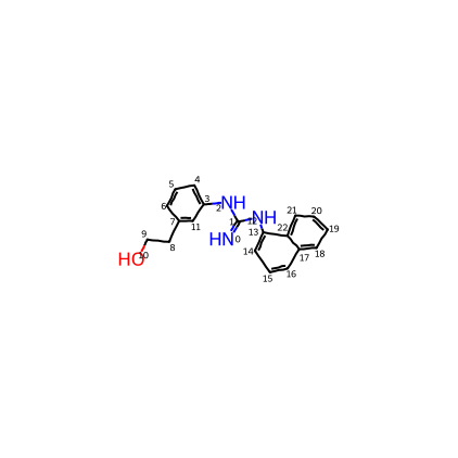 N=C(Nc1cccc(CCO)c1)Nc1cccc2ccccc12